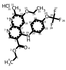 CCOC(=O)c1cnc2nc(C)c(OCC)cc2c1Nc1ccc(OC(F)(F)F)cc1.Cl